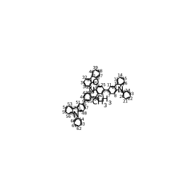 CC1(C)c2cc(-c3ccc4c(c3)c3ccccc3n4-c3ccccc3)ccc2N(c2cccc3c2oc2ccccc23)c2ccc(-c3ccc4c(c3)c3ccccc3n4-c3ccccc3)cc21